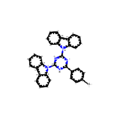 CC(C)(C)c1ccc(-c2nc(-n3c4ccccc4c4ccccc43)nc(-n3c4ccccc4c4ccccc43)n2)cc1